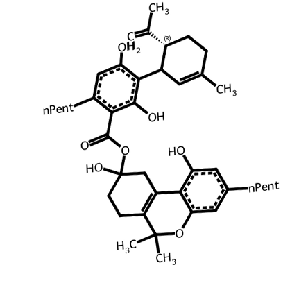 C=C(C)[C@@H]1CCC(C)=CC1c1c(O)cc(CCCCC)c(C(=O)OC2(O)CCC3=C(C2)c2c(O)cc(CCCCC)cc2OC3(C)C)c1O